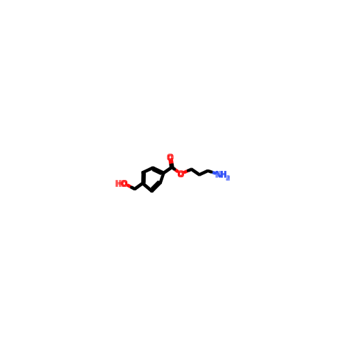 NCCCOC(=O)c1ccc(CO)cc1